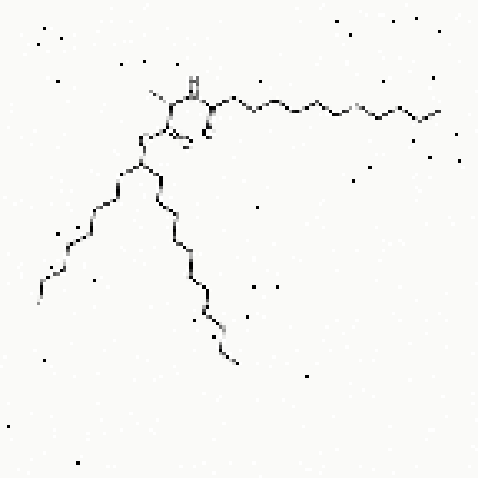 CCCCCCCCCCCC(=O)N[C@@H](C)C(=O)OC(CCCCCCCC)CCCCCCCCCCC